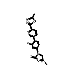 [CH2][C@@H]1CN(c2ccc(-c3ccc(-c4nnc(C)o4)nc3)c(F)c2)C(=O)O1